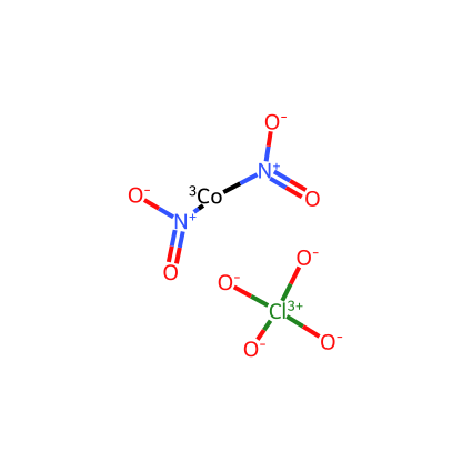 O=[N+]([O-])[3Co][N+](=O)[O-].[O-][Cl+3]([O-])([O-])[O-]